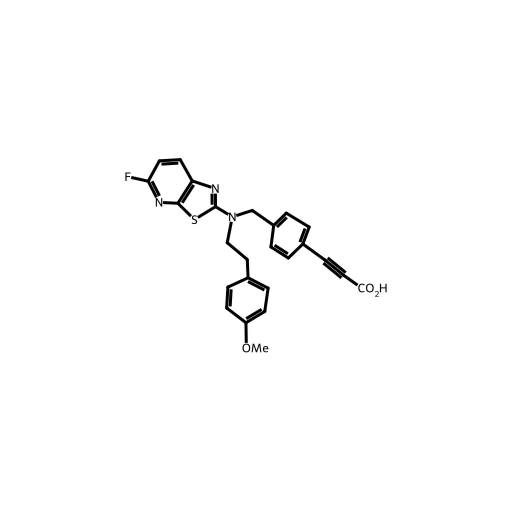 COc1ccc(CCN(Cc2ccc(C#CC(=O)O)cc2)c2nc3ccc(F)nc3s2)cc1